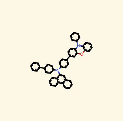 c1ccc(-c2ccc(N(c3ccc(-c4ccc5c(c4)Oc4ccccc4N5c4ccccc4)cc3)c3cc4ccccc4c4ccccc34)cc2)cc1